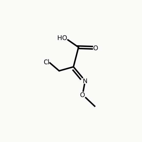 CON=C(CCl)C(=O)O